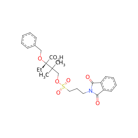 CC[C@@](OCc1ccccc1)(C(=O)O)C(C)(C)COS(=O)(=O)CCCN1C(=O)c2ccccc2C1=O